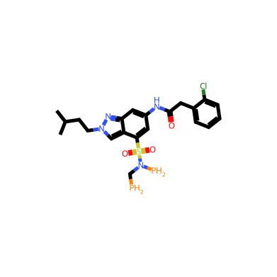 CC(C)CCn1cc2c(S(=O)(=O)N(P)CP)cc(NC(=O)Cc3ccccc3Cl)cc2n1